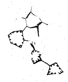 CCOC(=O)C1=C(C)NC(C)=C(C(=O)OCC)C1c1ccccc1Nc1nc(-c2ccsc2)cs1